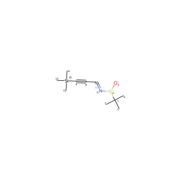 CC(C)(C)[S+]([O-])/N=C/C#C[Si](C)(C)C